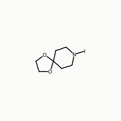 IN1CCC2(CC1)OCCO2